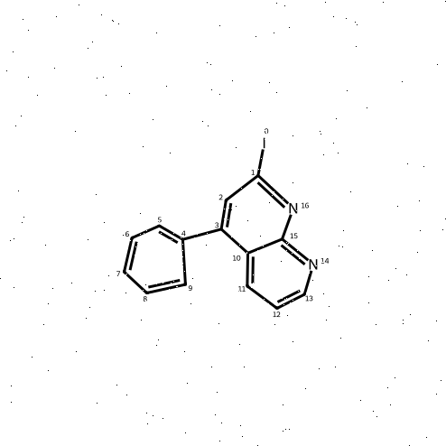 Ic1cc(-c2ccccc2)c2cccnc2n1